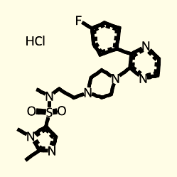 Cc1ncc(S(=O)(=O)N(C)CCN2CCN(c3nccnc3-c3ccc(F)cc3)CC2)n1C.Cl